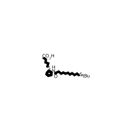 CC(C)(C)SCCCCCCCCCCC(=O)Nc1ccccc1SCCCCCC(=O)O